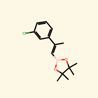 C/C(=C\B1OC(C)(C)C(C)(C)O1)c1cccc(Cl)c1